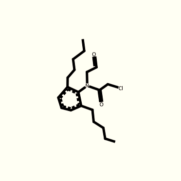 CCCCCc1cccc(CCCCC)c1N(CC=O)C(=O)CCl